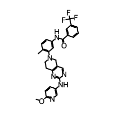 COc1ccc(Nc2ncc3c(n2)CCN(c2cc(NC(=O)c4cccc(C(F)(F)F)c4)ccc2C)C3)cn1